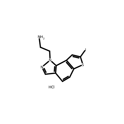 Cl.NCCn1ncc2ccc3sc(I)cc3c21